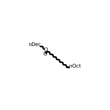 CCCCCCCC/C=C\CCCCCCCCCCCC(=O)OCCCCCCCCCCCCC